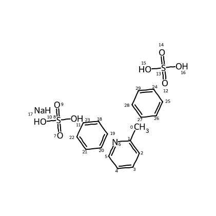 Cc1ccccn1.O=S(=O)(O)O.O=S(=O)(O)O.[NaH].c1ccccc1.c1ccccc1